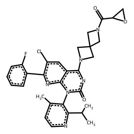 Cc1ccnc(C(C)C)c1-n1c(=O)nc(N2CC3(CN(C(=O)C4CO4)C3)C2)c2cc(Cl)c(-c3ccccc3F)nc21